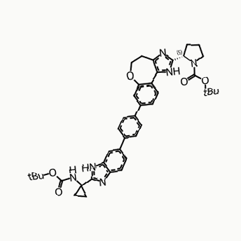 CC(C)(C)OC(=O)NC1(c2nc3ccc(-c4ccc(-c5ccc6c(c5)OCCc5nc([C@@H]7CCCN7C(=O)OC(C)(C)C)[nH]c5-6)cc4)cc3[nH]2)CC1